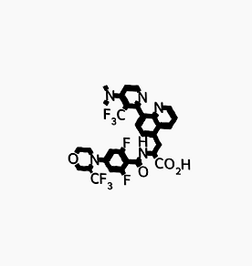 CN(C)c1ccnc(-c2ccc(CC(NC(=O)c3c(F)cc(N4CCOC[C@@H]4C(F)(F)F)cc3F)C(=O)O)c3cccnc23)c1C(F)(F)F